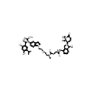 CC(C)c1cc(-c2nnc(O)n2-c2ccc3c(ccn3CCOCCN(C)C(=O)CCC(=O)Nc3cccc4c3CN(C3CCC(=O)NC3=O)C4=O)c2)c(O)cc1O